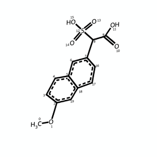 COc1ccc2cc(C(C(=O)O)S(=O)(=O)O)ccc2c1